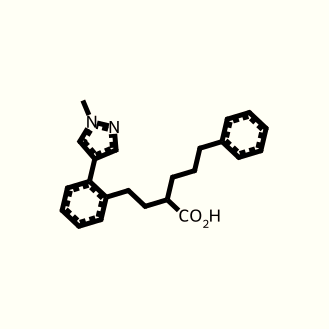 Cn1cc(-c2ccccc2CCC(CCCc2ccccc2)C(=O)O)cn1